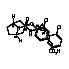 O=C(O)Cc1ccc(O[C@H]2C[C@H]3CC[C@@H](C2)N3C(=O)N[C@H]2C[C@@H]2C2CC=CC=C2Cl)c(Cl)c1